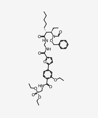 CCCCC[C@@H](C(=O)NCNC(=O)c1ccc(-c2ccc(C(=O)NCP(=O)(OCC)OCC)c(OCC)c2)o1)[C@@H](CC)N(C=O)OCc1ccccc1